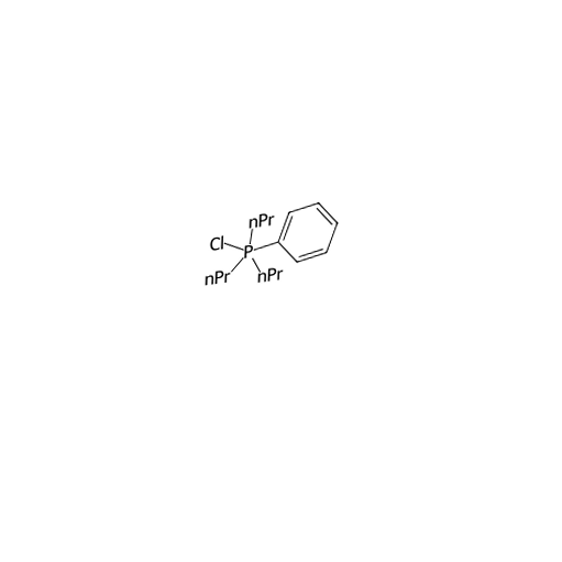 CCCP(Cl)(CCC)(CCC)c1ccccc1